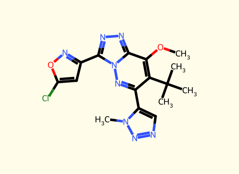 COc1c(C(C)(C)C)c(-c2cnnn2C)nn2c(-c3cc(Cl)on3)nnc12